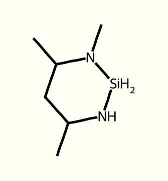 CC1CC(C)N(C)[SiH2]N1